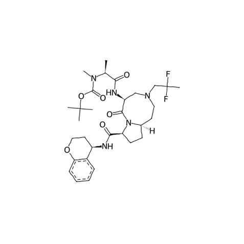 C[C@@H](C(=O)N[C@H]1CN(CC(C)(F)F)CC[C@H]2CC[C@@H](C(=O)N[C@@H]3CCOc4ccccc43)N2C1=O)N(C)C(=O)OC(C)(C)C